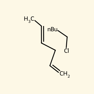 C=CCC=CC.CCCCCCl